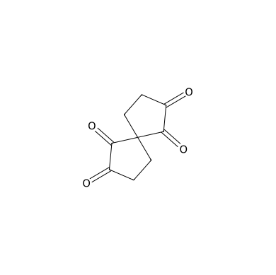 O=C1CCC2(CCC(=O)C2=O)C1=O